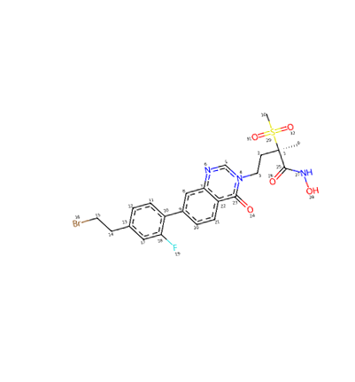 C[C@@](CCn1cnc2cc(-c3ccc(CCBr)cc3F)ccc2c1=O)(C(=O)NO)S(C)(=O)=O